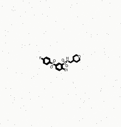 CCc1ccc(S(=O)(=O)c2ccc(F)cc2)cc1S(=O)(=O)NCC1CCOCC1